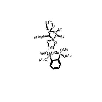 CCCCCCCC([Si](OCC)(OCC)OCC)[Si](OCC)(OCC)OCC.CO[Si](OC)(OC)c1ccccc1[Si](OC)(OC)OC